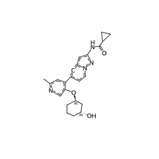 Cc1cc(-c2ccn3nc(NC(=O)C4CC4)cc3c2)c(O[C@@H]2CCC[C@@H](O)C2)cn1